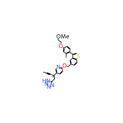 CC#C[C@H](Cc1nnn[nH]1)c1ccc(OCc2ccc3scc(-c4ccc(OCCOC)cc4C)c3c2)nc1